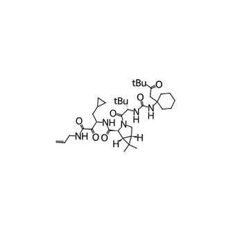 C=CCNC(=O)C(=O)C(CC1CC1)NC(=O)[C@@H]1[C@@H]2[C@H](CN1C(=O)[C@@H](NC(=O)NC1(CC(=O)C(C)(C)C)CCCCC1)C(C)(C)C)C2(C)C